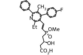 CCc1nc(-c2ccccc2)c(C)c(-c2ccc(F)cc2)c1C=CP(=O)(C[C@@H](O)CC(=O)O)OC